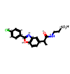 CC(C(=O)NCCS(=O)(=O)O)c1ccc2oc(-c3ccc(Cl)cc3)nc2c1